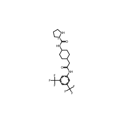 O=C(CC1CCC(NC(=O)[C@H]2CCCN2)CC1)Nc1cc(C(F)(F)F)cc(C(F)(F)F)c1